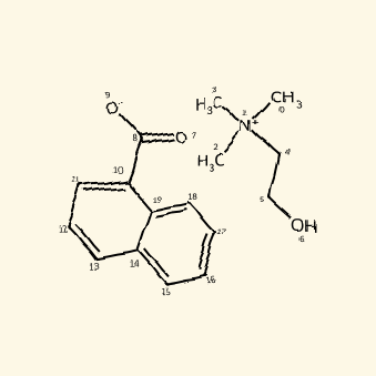 C[N+](C)(C)CCO.O=C([O-])c1cccc2ccccc12